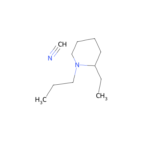 C#N.CCCN1CCCCC1CC